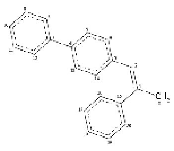 CC(=Cc1ccc(-c2ccccc2)cc1)c1ccccc1